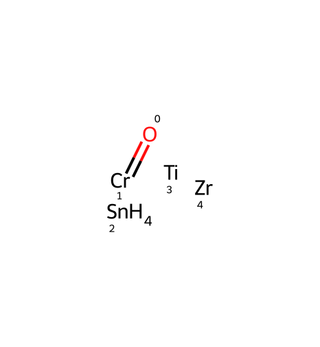 [O]=[Cr].[SnH4].[Ti].[Zr]